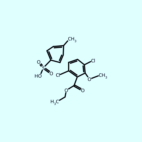 CCOC(=O)c1c(Cl)ccc(Cl)c1OC.Cc1ccc(S(=O)(=O)O)cc1